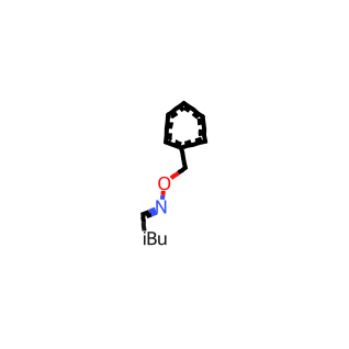 CCC(C)C=NOCc1ccccc1